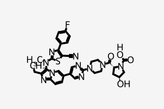 CCc1nc2ccc(-c3cnc(N4CCN(C(=O)[C@H]5C[C@@H](O)CN5C(=O)O)CC4)nc3)cn2c1N(C)c1nc(-c2ccc(F)cc2)c(C#N)s1